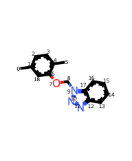 Cc1ccc(C)c(OCn2nnc3ccccc32)c1